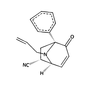 C=CCN1[C@H]2C=CC(=O)[C@]1(c1ccccc1)C[C@H]2C#N